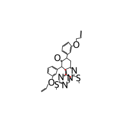 C=CCOc1cccc(C(Cc2ccnc(SC)n2)C(=O)C(Cc2ccnc(SC)n2)c2cccc(OCC=C)c2)c1